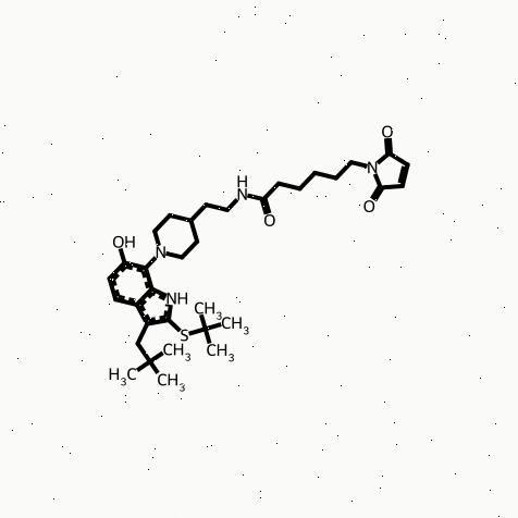 CC(C)(C)Cc1c(SC(C)(C)C)[nH]c2c(N3CCC(CCNC(=O)CCCCCN4C(=O)C=CC4=O)CC3)c(O)ccc12